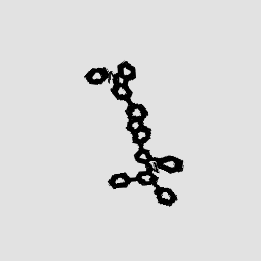 c1ccc(-c2cc(-c3ccccc3)cc(-n3c4ccccc4c4cc(-c5ccc6c(c5)Cc5cc(-c7ccc8c(c7)c7ccccc7n8-c7ccccc7)ccc5-6)ccc43)c2)cc1